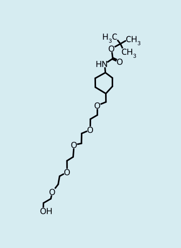 CC(C)(C)OC(=O)NC1CCC(COCCOCCOCCOCCOCCO)CC1